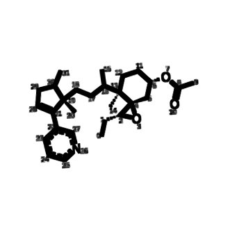 CC[C@H]1O[C@]12C[C@@H](OC(C)=O)CC[C@]2(C)C(C)CC[C@]1(C)C(c2cccnc2)=CCC1C